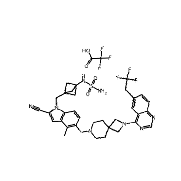 Cc1c(CN2CCC3(CC2)CN(c2ncnc4ccc(CC(F)(F)F)cc24)C3)ccc2c1cc(C#N)n2CC12CC(NS(N)(=O)=O)(C1)C2.O=C(O)C(F)(F)F